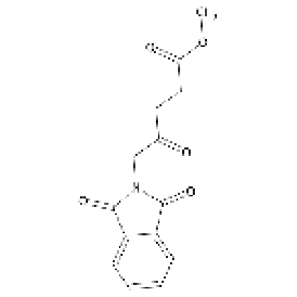 COC(=O)CCC(=O)CN1C(=O)c2ccccc2C1=O